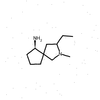 CCC1CC2(CCC[C@H]2N)CN1C